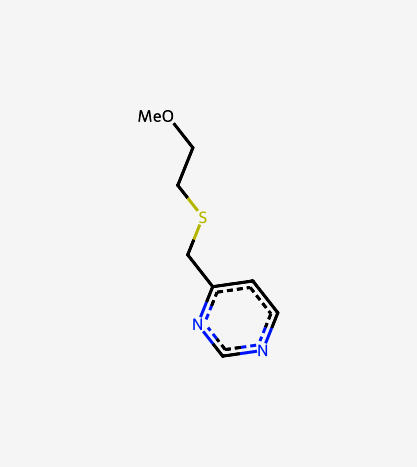 COCCSCc1ccncn1